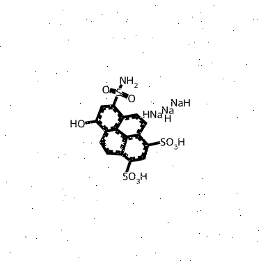 NS(=O)(=O)c1cc(O)c2ccc3c(S(=O)(=O)O)cc(S(=O)(=O)O)c4ccc1c2c34.[NaH].[NaH].[NaH]